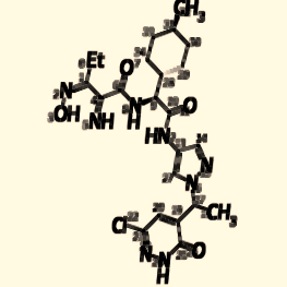 CC/C(=N/O)C(=N)C(=O)N[C@H](C(=O)Nc1cnn(C(C)c2cc(Cl)n[nH]c2=O)c1)[C@H]1CC[C@H](C)CC1